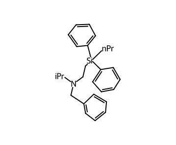 CCC[Si](CCN(Cc1ccccc1)C(C)C)(c1ccccc1)c1ccccc1